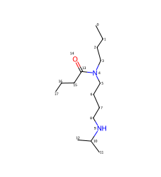 CCCCN(CCCCNC(C)C)C(=O)CCC